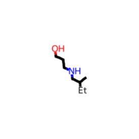 CCC(C)CNCCCO